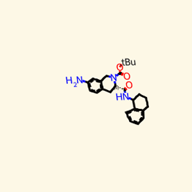 CC(C)(C)OC(=O)N1Cc2cc(N)ccc2C[C@H]1C(=O)NC1CCCc2ccccc21